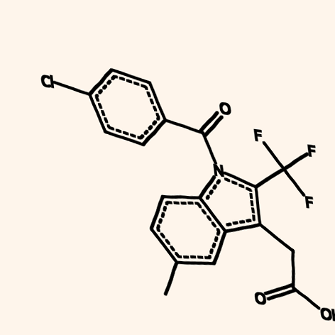 Cc1ccc2c(c1)c(CC(=O)O)c(C(F)(F)F)n2C(=O)c1ccc(Cl)cc1